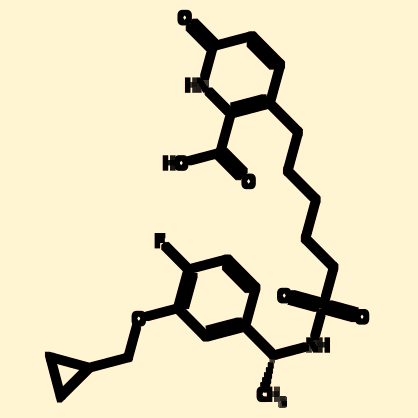 C[C@@H](NS(=O)(=O)CCCCCc1ccc(=O)[nH]c1C(=O)O)c1ccc(F)c(OCC2CC2)c1